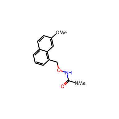 CNC(=O)NOCc1cccc2ccc(OC)cc12